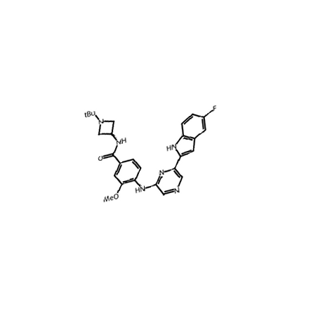 COc1cc(C(=O)NC2CN(C(C)(C)C)C2)ccc1Nc1cncc(-c2cc3cc(F)ccc3[nH]2)n1